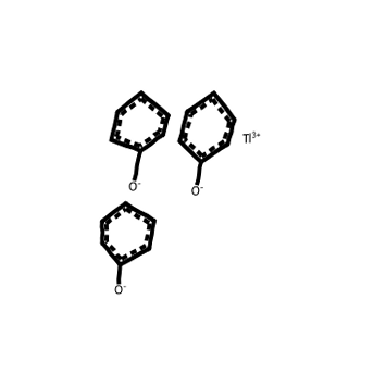 [O-]c1ccccc1.[O-]c1ccccc1.[O-]c1ccccc1.[Tl+3]